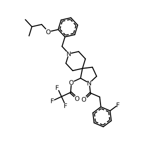 CC(C)COc1ccccc1CN1CCC2(CC1)CCN(C(=O)Cc1ccccc1F)C2OC(=O)C(F)(F)F